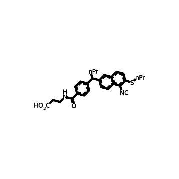 [C-]#[N+]c1c(SCCC)ccc2cc(C(CCC)c3ccc(C(=O)NCCC(=O)O)cc3)ccc12